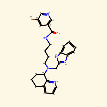 O=C(NCCCCN(Cc1nc2ccccc2[nH]1)C1CCCc2cccnc21)c1cncc(Br)c1